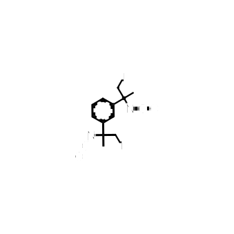 CC(CI)(N=C=O)c1cccc(C(C)(CI)N=C=O)c1